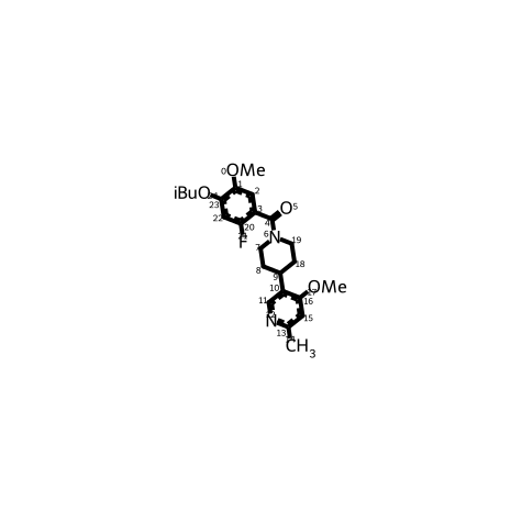 COc1cc(C(=O)N2CCC(c3cnc(C)cc3OC)CC2)c(F)cc1OCC(C)C